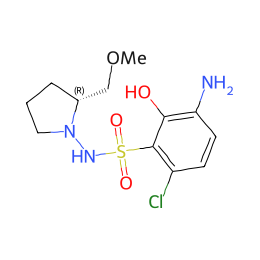 COC[C@H]1CCCN1NS(=O)(=O)c1c(Cl)ccc(N)c1O